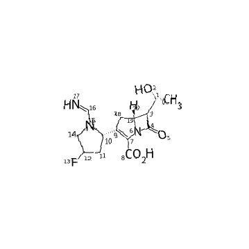 C[C@@H](O)[C@H]1C(=O)N2C(C(=O)O)=C([C@@H]3CC(F)CN3C=N)C[C@H]12